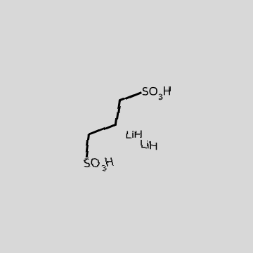 O=S(=O)(O)CCCS(=O)(=O)O.[LiH].[LiH]